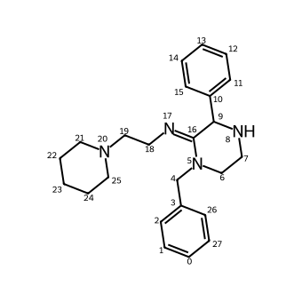 c1ccc(CN2CCNC(c3ccccc3)/C2=N/CCN2CCCCC2)cc1